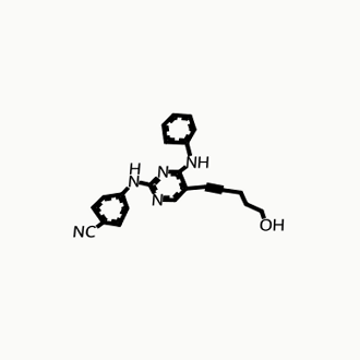 N#Cc1ccc(Nc2ncc(C#CCCCO)c(Nc3ccccc3)n2)cc1